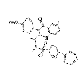 COc1ccc(-n2c(C(C)N(C)S(=O)(=O)c3ccc(-c4ccccc4)cc3)nc3ccc(C)cc3c2=O)cc1